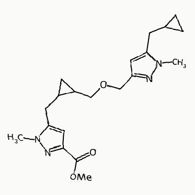 COC(=O)c1cc(CC2CC2COCc2cc(CC3CC3)n(C)n2)n(C)n1